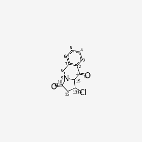 O=C1c2ccccc2CN2C(=O)CC(Cl)C12